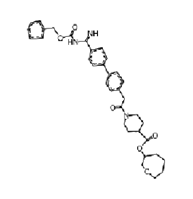 N=C(NC(=O)OCc1ccccc1)c1ccc(-c2ccc(CC(=O)N3CCC(C(=O)OC4CCCCCC4)CC3)cc2)cc1